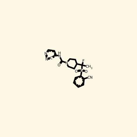 CC(F)(C1CCN(C(=O)Nc2ccnnc2)CC1)S(=O)(=O)c1ccccc1C#N